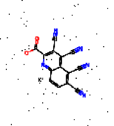 N#Cc1ccc2nc(C(=O)[O-])c(C#N)c(C#N)c2c1C#N.[K+]